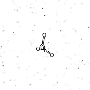 O=c1o[n+]1=O